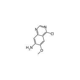 COc1cc2c(Cl)ncnc2cc1N